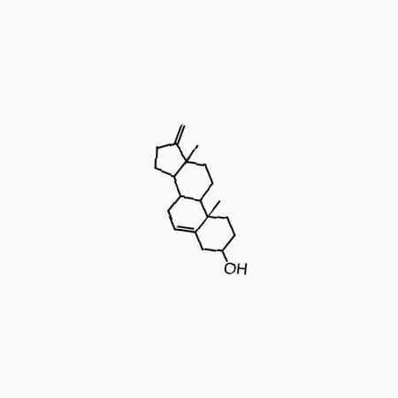 C=C1CCC2C3CC=C4CC(O)CCC4(C)C3CCC12C